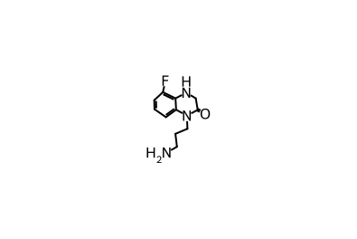 NCCCN1C(=O)CNc2c(F)cccc21